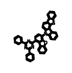 c1ccc(-c2nc(-c3ccccc3)nc(-c3ccc(-n4c5ccccc5c5c6sc7ccccc7c6ccc54)c4oc5ccccc5c34)n2)cc1